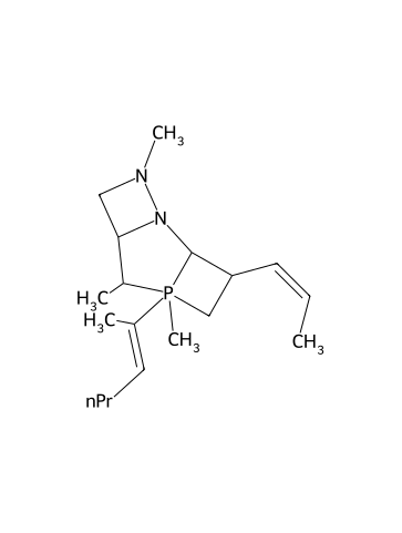 C/C=C\C1CP2(C)(/C(C)=C/CCC)C(C)C3CN(C)N3C12